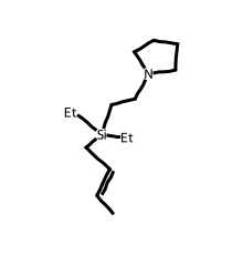 CC=CC[Si](CC)(CC)CCN1CCCC1